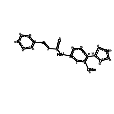 COc1cc(NC(=O)C=Cc2ccncc2)ccc1-c1cnco1